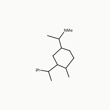 CNC(C)C1CCC(C)C(C(C)C(C)C)C1